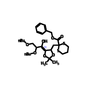 CCCCOCC(OCCCC)/C(O)=C1\OC(C)(C)OC1CC1(C(=O)OCc2ccccc2)SCCCS1